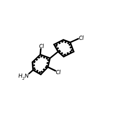 Nc1cc(Cl)c(-c2ccc(Cl)cc2)c(Cl)c1